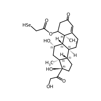 C[C@]12C[C@H](O)[C@H]3[C@@H](CCC4=CC(=O)CC(OC(=O)C[SeH])[C@@]43C)[C@@H]1CC[C@]2(O)C(=O)CO